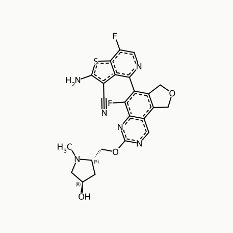 CN1C[C@H](O)C[C@H]1COc1ncc2c3c(c(-c4ncc(F)c5sc(N)c(C#N)c45)c(F)c2n1)COC3